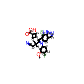 COc1cc(-n2c(C(C)(C)CC#N)c([C@H]3C[C@H](C(=O)O)C3)c3c(F)c4[nH]ncc4cc32)ccc1F